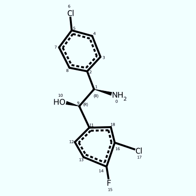 N[C@H](c1ccc(Cl)cc1)[C@H](O)c1ccc(F)c(Cl)c1